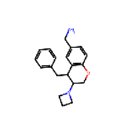 NCc1ccc2c(c1)C(Cc1ccccc1)C(N1CCC1)CO2